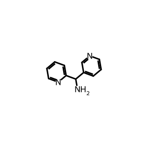 NC(c1cccnc1)c1ccccn1